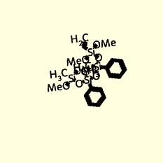 C=C[Si](OC)(OC)O[Si](C)(O[Si](C)(O[Si](C)(OC)OC)c1ccccc1)c1ccccc1